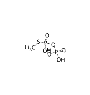 CSP(=O)(O)OP(=O)(O)O